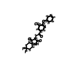 O=C(CN1C(=O)NC2(CCC(F)(F)CC2)C1=O)c1cnc(Oc2cccnc2)c(Cl)c1